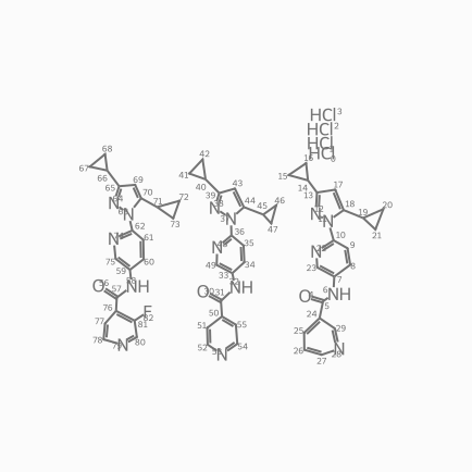 Cl.Cl.Cl.Cl.O=C(Nc1ccc(-n2nc(C3CC3)cc2C2CC2)nc1)c1cccnc1.O=C(Nc1ccc(-n2nc(C3CC3)cc2C2CC2)nc1)c1ccncc1.O=C(Nc1ccc(-n2nc(C3CC3)cc2C2CC2)nc1)c1ccncc1F